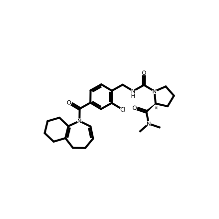 CN(C)C(=O)[C@@H]1CCCN1C(=O)NCc1ccc(C(=O)N2C=CCCC3=C2CCCC3)cc1Cl